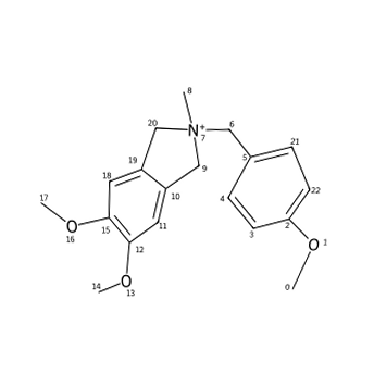 COc1ccc(C[N+]2(C)Cc3cc(OC)c(OC)cc3C2)cc1